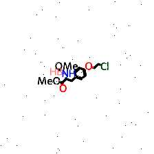 COBNC(Cc1ccc(OCCCl)cc1)C(=O)OC